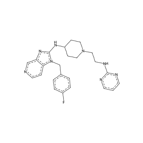 Fc1ccc(Cn2c(NC3CCN(CCNc4ncccn4)CC3)nc3cnccc32)cc1